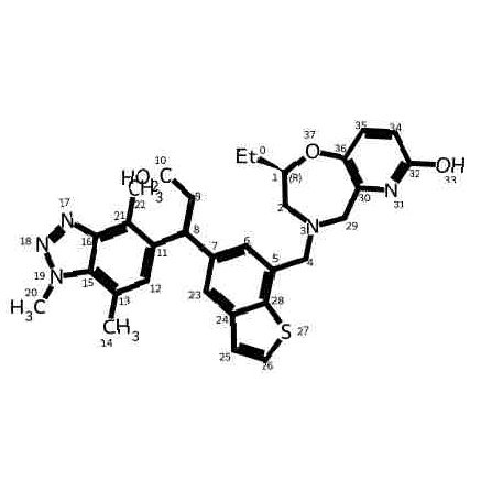 CC[C@@H]1CN(Cc2cc(C(CC(=O)O)c3cc(C)c4c(nnn4C)c3C)cc3ccsc23)Cc2nc(O)ccc2O1